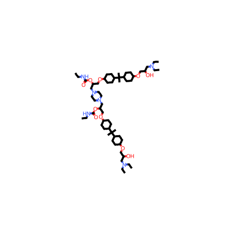 CCNC(=O)OC(COC1CCC(C(C)(C)C2CCC(OCC(O)CN(CC)CC)CC2)CC1)CN1CCN(CC(COC2CCC(C(C)(C)C3CCC(OCC(O)CN(CC)CC)CC3)CC2)OC(=O)NCC)CC1